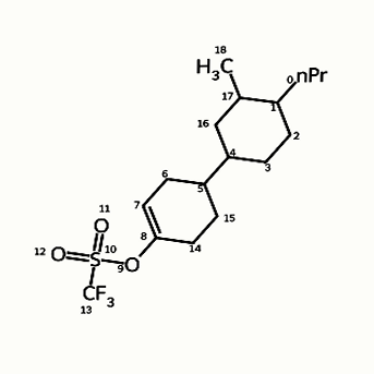 CCCC1CCC(C2CC=C(OS(=O)(=O)C(F)(F)F)CC2)CC1C